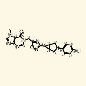 Cn1cnc2ncn(Cc3nc(C4C5CN(c6ccc(Cl)cc6)CC54)no3)c(=O)c21